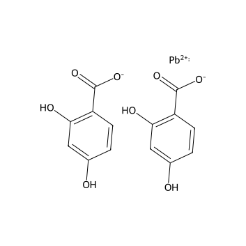 O=C([O-])c1ccc(O)cc1O.O=C([O-])c1ccc(O)cc1O.[Pb+2]